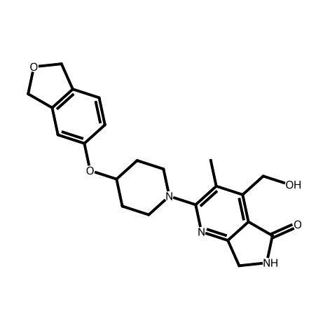 Cc1c(N2CCC(Oc3ccc4c(c3)COC4)CC2)nc2c(c1CO)C(=O)NC2